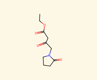 CCOC(=O)CC(=O)CN1CCCC1=O